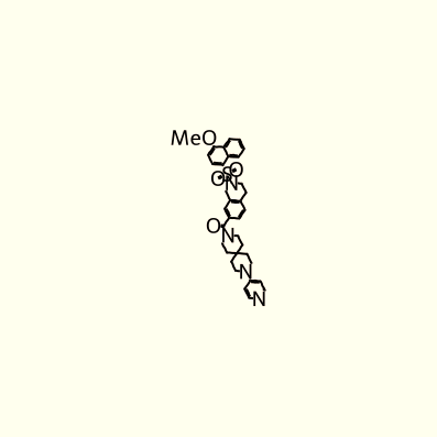 COc1ccc(S(=O)(=O)N2CCc3ccc(C(=O)N4CCC5(CC4)CCN(c4ccncc4)CC5)cc3C2)c2ccccc12